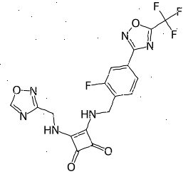 O=c1c(NCc2ncon2)c(NCc2ccc(-c3noc(C(F)(F)F)n3)cc2F)c1=O